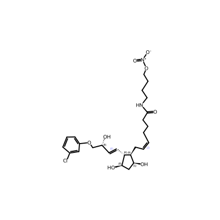 O=C(CCC/C=C\C[C@@H]1[C@@H](/C=C/[C@@H](O)COc2cccc(Cl)c2)[C@H](O)C[C@@H]1O)NCCCCO[N+](=O)[O-]